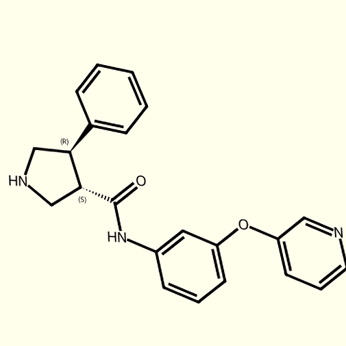 O=C(Nc1cccc(Oc2cccnc2)c1)[C@@H]1CNC[C@H]1c1ccccc1